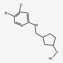 N#COC1CCC(CNc2cc(Cl)c(Br)cn2)C1